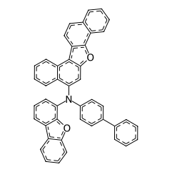 c1ccc(-c2ccc(N(c3cc4oc5c6ccccc6ccc5c4c4ccccc34)c3cccc4c3oc3ccccc34)cc2)cc1